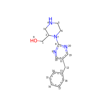 OCC1CNCCN1c1ncc(Cc2ccccc2)cn1